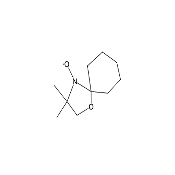 CC1(C)COC2(CCCCC2)N1[O]